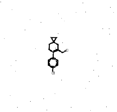 ClCC1=C(c2ccc(Cl)cc2)CCC2(CC2)C1